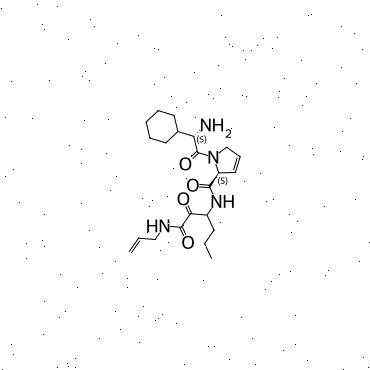 C=CCNC(=O)C(=O)C(CCC)NC(=O)[C@@H]1C=CCN1C(=O)[C@@H](N)C1CCCCC1